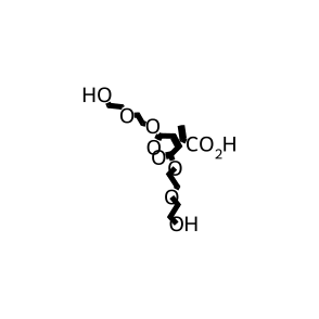 C=CC(=O)O.O=C(/C=C\C(=O)OCCOCCO)OCCOCCO